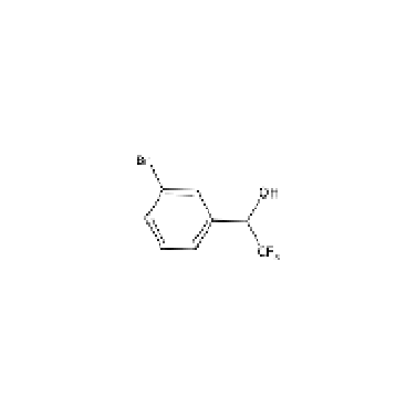 OC(c1cccc(Br)c1)C(F)(F)F